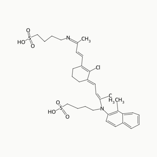 CC(/C=C/C1=C(Cl)C(=C/C=C(\C)N(CCCCS(=O)(=O)O)c2ccc3ccccc3c2C)/CCC1)=N/CCCCS(=O)(=O)O